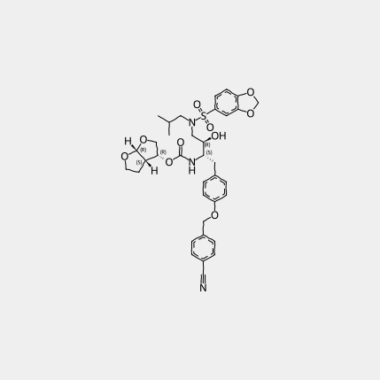 CC(C)CN(C[C@@H](O)[C@H](Cc1ccc(OCc2ccc(C#N)cc2)cc1)NC(=O)O[C@H]1CO[C@H]2OCC[C@H]21)S(=O)(=O)c1ccc2c(c1)OCO2